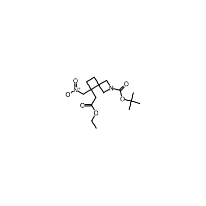 CCOC(=O)CC1(C[N+](=O)[O-])CCC12CN(C(=O)OC(C)(C)C)C2